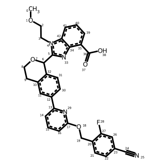 COCCn1c(C2OCCc3cc(-c4cccc(OCc5ccc(C#N)cc5F)n4)ccc32)nc2c(C(=O)O)cccc21